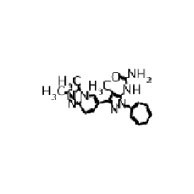 Cc1c(C2=CN3C(=NN(C)C3C)C=C2)nn(C2=CC=CCC=C2)c1NC(N)=O